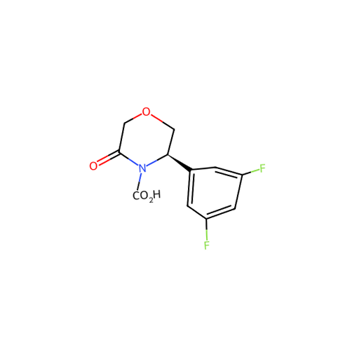 O=C(O)N1C(=O)COC[C@H]1c1cc(F)cc(F)c1